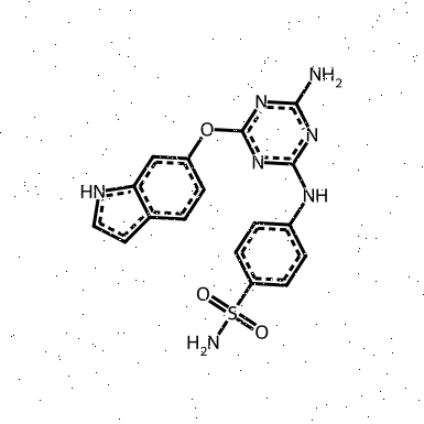 Nc1nc(Nc2ccc(S(N)(=O)=O)cc2)nc(Oc2ccc3cc[nH]c3c2)n1